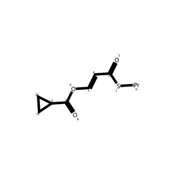 CC(C)SC(=O)C=COC(=O)C1CC1